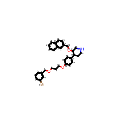 Brc1cccc(COCCCOc2ccc(C3CCNCC3OCc3ccc4ccccc4c3)cc2)c1